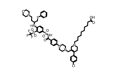 O=C(O)CCCCCCCCCN1CCC(c2ccc(Cl)cc2)=C(CN2CCN(c3ccc(C(=O)NS(=O)(=O)c4ccc(NC(CCN5CCOCC5)CSc5ccccc5)c(S(=O)(=O)C(F)(F)F)c4)cc3)CC2)C1